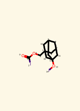 O=C(I)OCC12CC3CC(C1)CC(OI)(C3)C2